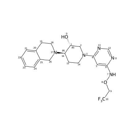 O[C@@H]1CN(c2cc(NOCC(F)(F)F)ncn2)CC[C@H]1N1CCc2ccccc2C1